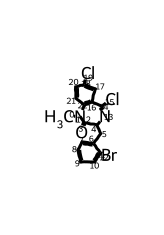 CN1C(=O)C(Cc2ccccc2Br)N=C(Cl)c2cc(Cl)ccc21